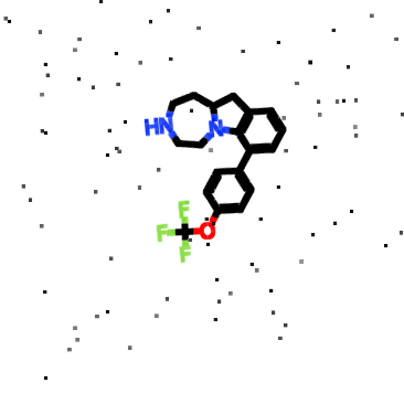 FC(F)(F)Oc1ccc(-c2cccc3c2N2CCNCCC2C3)cc1